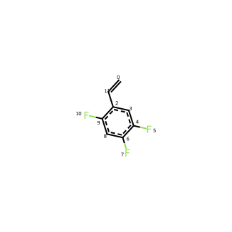 C=[C]c1cc(F)c(F)cc1F